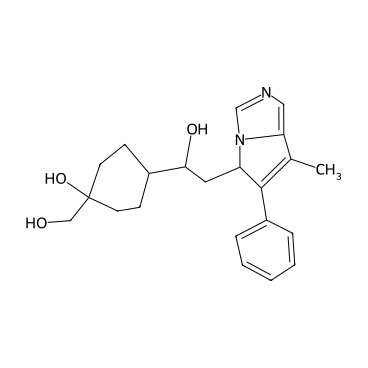 CC1=C(c2ccccc2)C(CC(O)C2CCC(O)(CO)CC2)n2cncc21